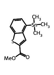 COC(=O)c1cc2[c]([Sn]([CH3])([CH3])[CH3])cccc2s1